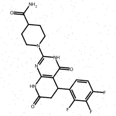 NC(=O)C1CCN(c2nc3c(c(=O)[nH]2)C(c2ccc(F)c(F)c2F)CC(=O)N3)CC1